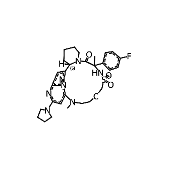 CN1CCCCS(=O)(=O)NC(C)(c2ccc(F)cc2)C(=O)N2CCCC[C@H]2c2cc3nc(N4CCCC4)cc1n3n2